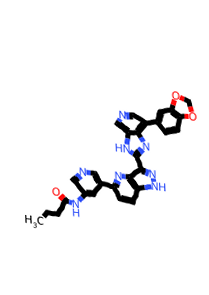 CCCC(=O)Nc1cncc(-c2ccc3[nH]nc(-c4nc5c(-c6ccc7c(c6)OCO7)cncc5[nH]4)c3n2)c1